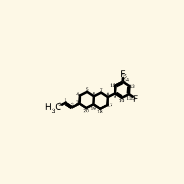 C/C=C/C1CCC2CC(c3cc(F)cc(F)c3)CCC2C1